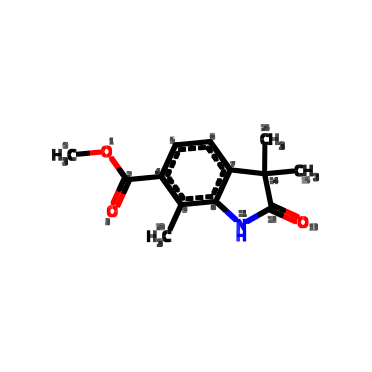 COC(=O)c1ccc2c(c1C)NC(=O)C2(C)C